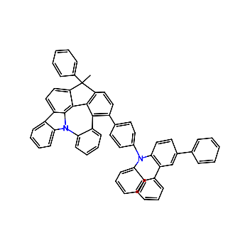 CC1(c2ccccc2)c2ccc(-c3ccc(N(c4ccccc4)c4ccc(-c5ccccc5)cc4-c4ccccc4)cc3)c3c2-c2c1ccc1c4ccccc4n(c21)-c1ccccc1-3